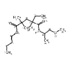 CCCCOC(=O)C(C)(C)CC(C)(CC)C(=O)OC(C)COC